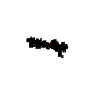 C[C@@H]1CN([C@@H]2CCC(=O)NC2=O)c2cccc(C3CCN(CC(=O)N4CCC(Oc5cccc(N6[C@@H]7CC[C@H]6CN(c6cc(-c8ccccc8O)nnc6N)C7)c5)CC4)CC3)c21